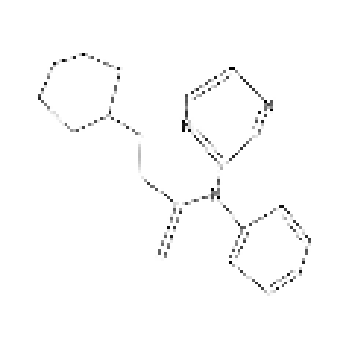 C=C(CCC1CCCCC1)N(c1ccccc1)c1cnccn1